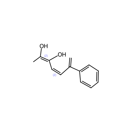 C=C(/C=C\C(O)=C(/C)O)c1ccccc1